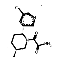 C[C@H]1CC[C@H](c2cncc(Cl)c2)N(C(=O)C(N)=O)C1